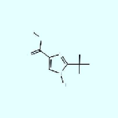 COC(=O)c1cn(C)c(C(F)(F)F)n1